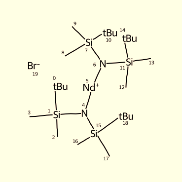 CC(C)(C)[Si](C)(C)[N]([Nd+][N]([Si](C)(C)C(C)(C)C)[Si](C)(C)C(C)(C)C)[Si](C)(C)C(C)(C)C.[Br-]